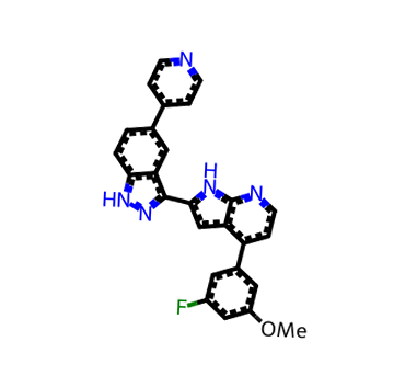 COc1cc(F)cc(-c2ccnc3[nH]c(-c4n[nH]c5ccc(-c6ccncc6)cc45)cc23)c1